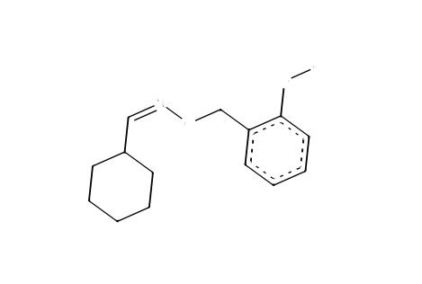 FC(F)(F)Oc1ccccc1CO/N=[C]\C1CCCCC1